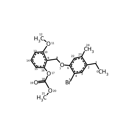 CCc1cc(Br)c(OCc2c(OC)cccc2OC(=O)OC)cc1C